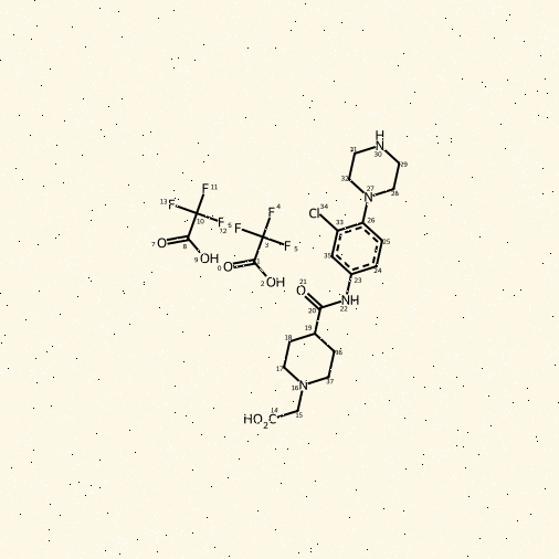 O=C(O)C(F)(F)F.O=C(O)C(F)(F)F.O=C(O)CN1CCC(C(=O)Nc2ccc(N3CCNCC3)c(Cl)c2)CC1